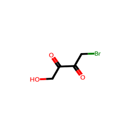 O=C(CO)C(=O)CBr